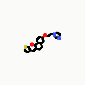 O=C1C(=Cc2ccsc2)CCc2cc(OCCn3ccnc3)ccc21